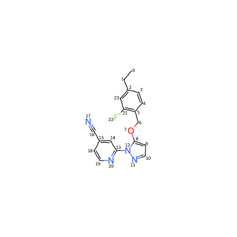 CCc1ccc(COc2ccnn2-c2cc(C#N)ccn2)c(F)c1